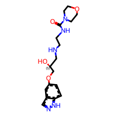 O=C(NCCNC[C@H](O)COc1ccc2[nH]ncc2c1)N1CCOCC1